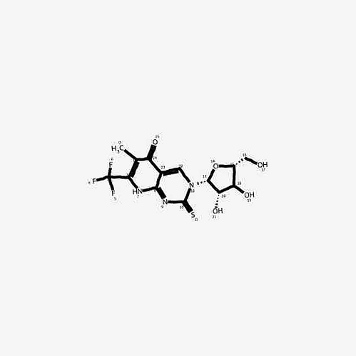 Cc1c(C(F)(F)F)[nH]c2nc(=S)n([C@@H]3O[C@H](CO)C(O)[C@@H]3O)cc2c1=O